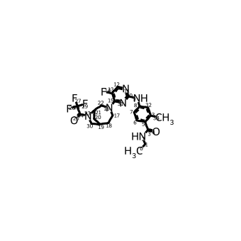 CCNC(=O)c1ccc(Nc2ncc(F)c(N3CCC4CC(C3)N(C(=O)C(F)(F)F)C4)n2)cc1C